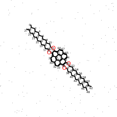 CCCCCCCCCCCCOc1c(OCCCCCCCCCCCC)c2ccc3ccc4c(OCCCCCCCCCCCC)c(OCCCCCCCCCCCC)c5ccc6ccc1c1c6c5c4c3c21